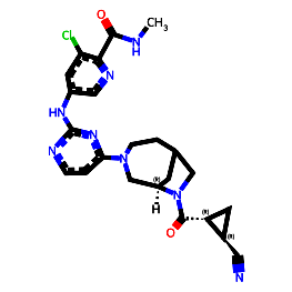 CNC(=O)c1ncc(Nc2nccc(N3CCC4C[C@H](C3)N(C(=O)[C@@H]3C[C@H]3C#N)C4)n2)cc1Cl